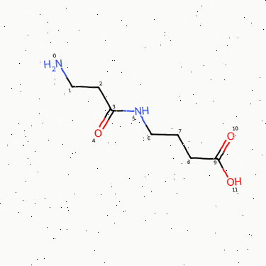 NCCC(=O)NCCCC(=O)O